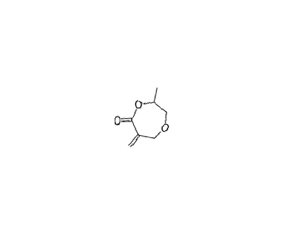 C=C1COCC(C)OC1=O